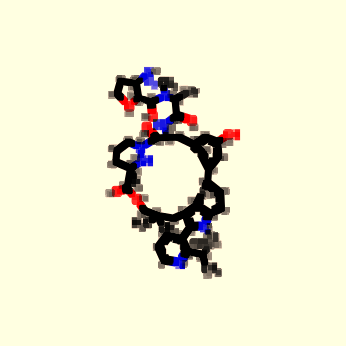 CCn1c(-c2cccnc2[C@H](C)OC)c2c3cc(ccc31)-c1cc(O)cc(c1)C[C@H](NC(=O)C(C(C)C)N(C)C(=O)[C@H]1OCC[C@H]1N)C(=O)N1CCC[C@H](N1)C(=O)OCC(C)(C)C2